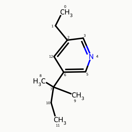 CCc1cncc(C(C)(C)CC)c1